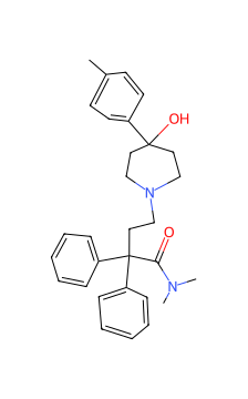 Cc1ccc(C2(O)CCN(CCC(C(=O)N(C)C)(c3ccccc3)c3ccccc3)CC2)cc1